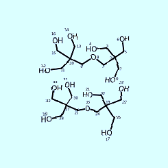 OCC(CO)(CO)COCC(CO)(CO)CO.OCC(CO)(CO)COCC(CO)(CO)CO